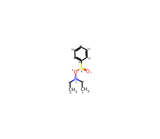 CCN(CC)OS(=O)c1ccccc1